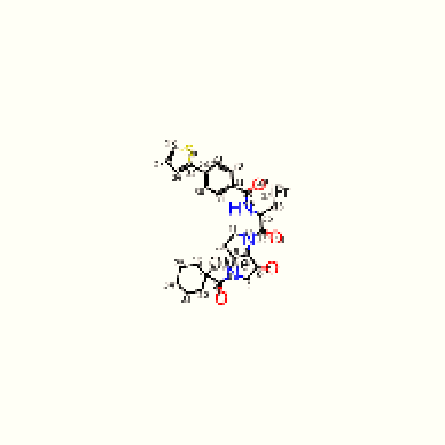 COC1(C(=O)N2CC(=O)C3C2CCN3C(=O)C(CC(C)C)NC(=O)c2ccc(-c3cccs3)cc2)CCCCC1